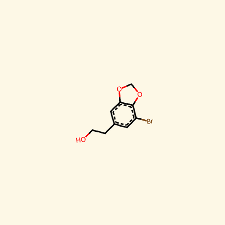 OCCc1cc(Br)c2c(c1)OCO2